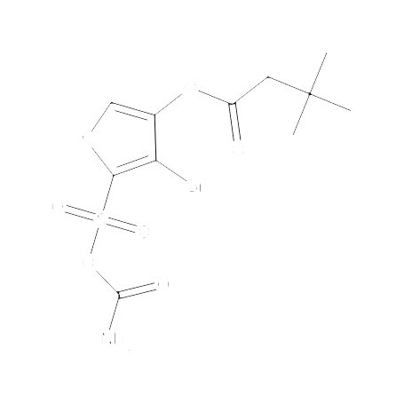 CC(C)(C)CC(=O)Oc1csc(S(=O)(=O)OC(N)=O)c1Br